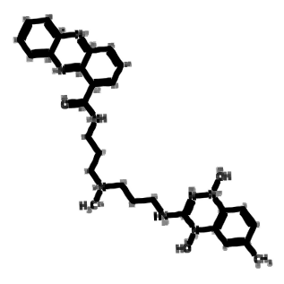 Cc1ccc2c(c1)N(O)C(NCCCN(C)CCCNC(=O)c1cccc3nc4ccccc4nc13)=NN2O